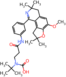 COc1cc2c(c3c1OC(C)(C)C3)C(c1cccc(NC(=O)CCN(C(=O)O)C(C)(C)C)c1)=NC(C)(C)C2